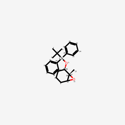 CC(C)(C)[Si](O[C@@H]1CCCC2O[C@]21C)(c1ccccc1)c1ccccc1